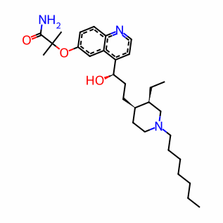 CCCCCCCN1CC[C@@H](CC[C@@H](O)c2ccnc3ccc(OC(C)(C)C(N)=O)cc23)[C@@H](CC)C1